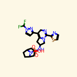 O=S(=O)(NC1CC2=C(c3ccn(C(F)F)n3)CN=C(c3nccs3)N2C1)N1C2CCC1CC(O)C2